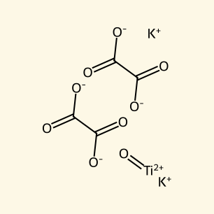 O=C([O-])C(=O)[O-].O=C([O-])C(=O)[O-].[K+].[K+].[O]=[Ti+2]